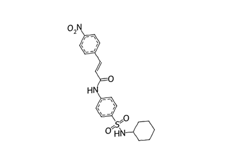 O=C(C=Cc1ccc([N+](=O)[O-])cc1)Nc1ccc(S(=O)(=O)NC2CCCCC2)cc1